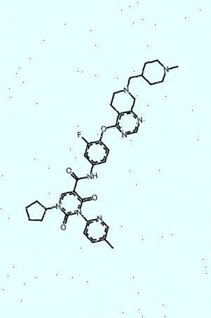 Cc1ccc(-n2c(=O)c(C(=O)Nc3ccc(Oc4ncnc5c4CCN(CC4CCN(C)CC4)C5)c(F)c3)cn(C3CCCC3)c2=O)nc1